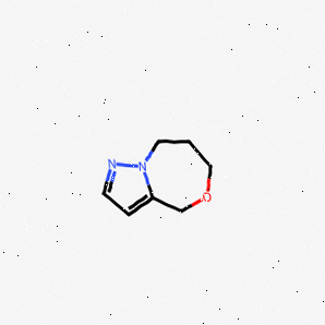 c1cc2n(n1)CCCOC2